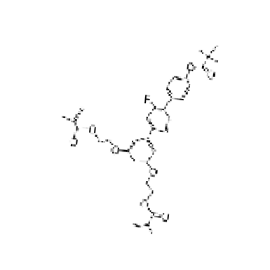 C=C(C)C(=O)OCCOc1cc(OCCOC(=O)C(=C)C)cc(-c2ccc(-c3ccc(OC(=O)C(C)(C)C)cc3)c(F)c2)c1